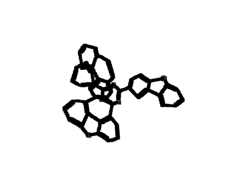 c1ccc(-c2nc(-c3ccc4oc5ccccc5c4c3)nc(-c3cccc4oc5cccc(-c6ccc7ccc8ccccc8c7c6)c5c34)n2)cc1